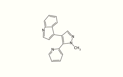 Cn1ncc(-c2ccnc3ccccc23)c1-c1ccccn1